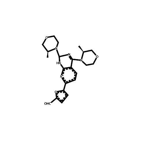 C[C@H]1COCCN1C1=NC(N2CCOC[C@@H]2C)Nc2nc(-c3ccc(C=O)o3)ccc21